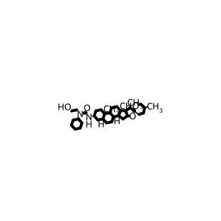 C[C@H]1CC[C@@]2(OC1)OC1CC3[C@@H]4CC[C@@H]5C[C@H](NC(=O)N(CCO)C6CCCCC6)CC[C@]5(C)C4CC[C@]3(C)C1[C@@H]2C